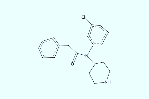 O=C(Cc1ccccc1)N(c1cccc(Cl)c1)C1CCNCC1